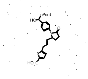 CCCCCC(O)c1ccc(N2C(=O)CCC2C=CCc2ccc(C(=O)O)s2)cc1